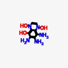 Nc1c(N)c(O)c2c(c1N)N(O)C=CN2O